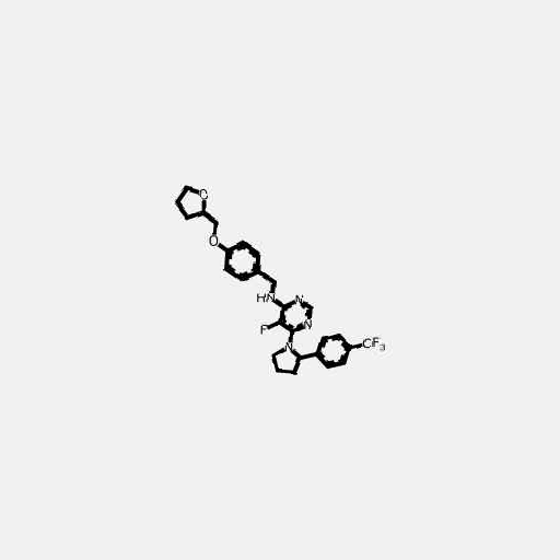 Fc1c(NCc2ccc(OCC3CCCO3)cc2)ncnc1N1CCCC1c1ccc(C(F)(F)F)cc1